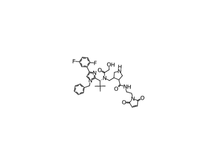 CC(C)(C)[C@H](c1nc(-c2cc(F)ccc2F)cn1Cc1ccccc1)N(CC1CNCC1C(=O)NCCN1C(=O)C=CC1=O)C(=O)CO